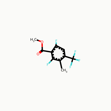 COC(=O)c1c(F)cc(C(F)(F)F)c(C)c1F